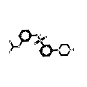 O=S(=O)(Nc1cccc(OC(F)F)c1)c1cccc(N2CCNCC2)c1